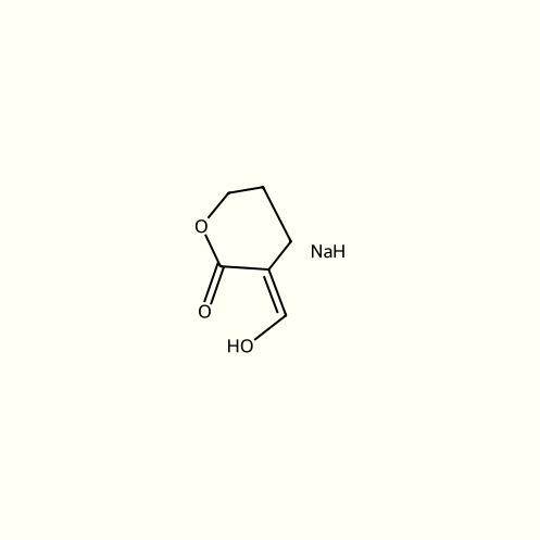 O=C1OCCCC1=CO.[NaH]